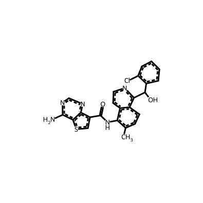 Cc1ccc2c(C(O)c3ccccc3Cl)nccc2c1NC(=O)c1csc2c(N)ncnc12